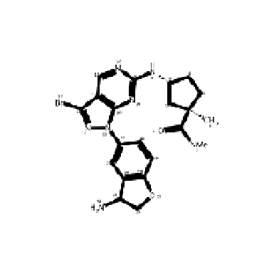 CNC(=O)[C@]1(C)CC[C@@H](Nc2ncc3c(Br)nn(-c4ccc5c(c4)C(N)CO5)c3n2)C1